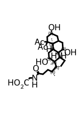 CC(=O)C1(C(C)=O)C[C@@H](O)CC2C[C@@H](O)[C@H]3[C@@H]4CC[C@H]([C@H](C)CCC(=O)NCC(=O)O)[C@@]4(C)[C@@H](O)C[C@@H]3[C@]21C